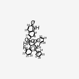 O=C(C(NS(=O)(=O)c1ccc2[nH]c(=O)ccc2c1)c1ccccc1F)N(Cc1ccco1)Cc1cccs1